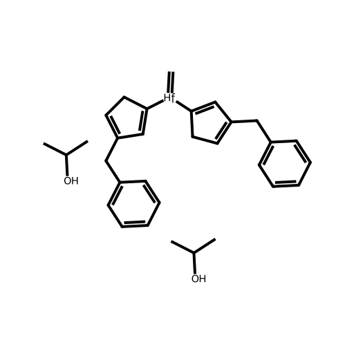 CC(C)O.CC(C)O.[CH2]=[Hf]([C]1=CC(Cc2ccccc2)=CC1)[C]1=CC(Cc2ccccc2)=CC1